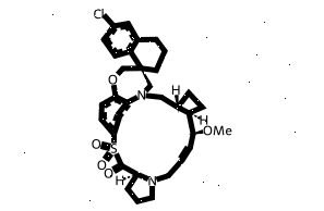 CO[C@H]1C=CCN2CCC[C@H]2C(=O)S(=O)(=O)c2ccc3c(c2)N(C[C@@H]2CC[C@H]21)C[C@@]1(CCCc2cc(Cl)ccc21)CO3